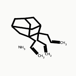 C=CCC12CC3CC(CC(C3)C1(CC=C)CC=C)C2.N